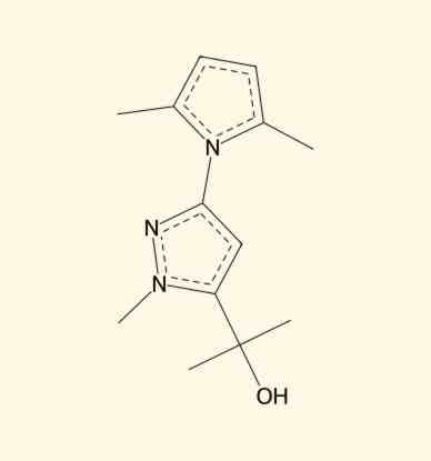 Cc1ccc(C)n1-c1cc(C(C)(C)O)n(C)n1